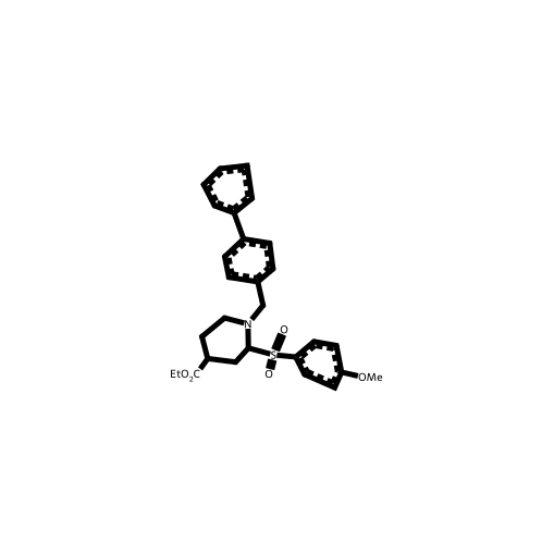 CCOC(=O)C1CCN(Cc2ccc(-c3ccccc3)cc2)C(S(=O)(=O)c2ccc(OC)cc2)C1